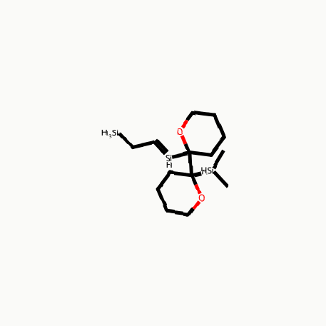 C[SiH](C)C1(C2([SiH]=CC[SiH3])CCCCO2)CCCCO1